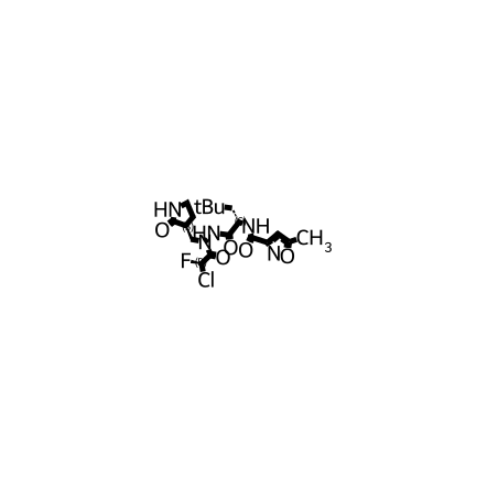 Cc1cc(C(=O)N[C@@H](CC(C)(C)C)C(=O)NN(C[C@@H]2CCNC2=O)C(=O)[C@H](F)Cl)no1